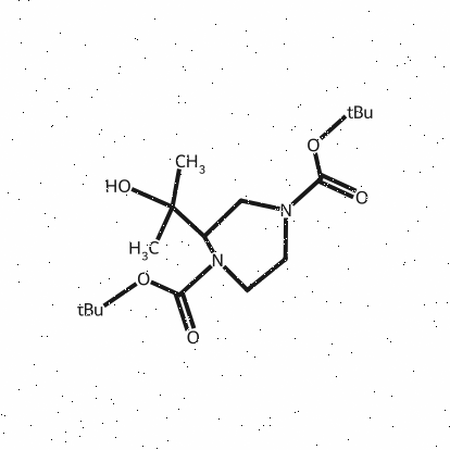 CC(C)(C)OC(=O)N1CCN(C(=O)OC(C)(C)C)C(C(C)(C)O)C1